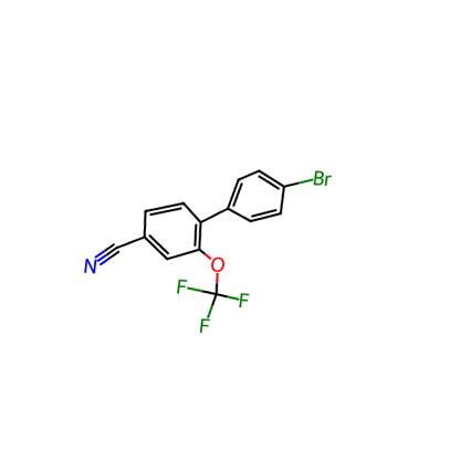 N#Cc1ccc(-c2ccc(Br)cc2)c(OC(F)(F)F)c1